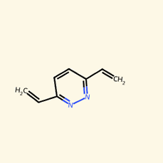 C=Cc1ccc(C=C)nn1